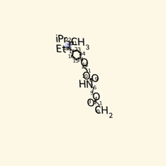 C=CC(=O)OCCNC(=O)OCCOc1ccc(/C(CC)=C(\C)C(C)C)cc1